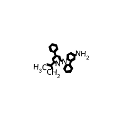 C=C/C(=C\C)c1cc(-c2ccccc2)cc(-n2c3ccccc3c3cc(N)ccc32)n1